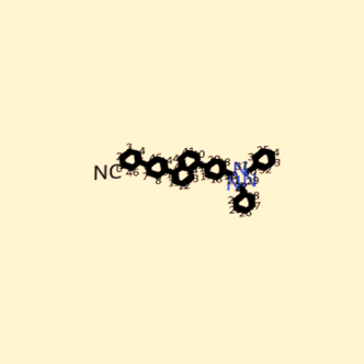 N#Cc1cccc(-c2ccc(-c3cccc4c(-c5ccc(-c6nc(-c7ccccc7)nc(-c7ccccc7)n6)cc5)cccc34)cc2)c1